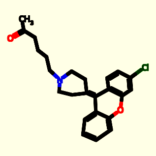 CC(=O)CCCCN1CCC(=C2c3ccccc3Oc3cc(Cl)ccc32)CC1